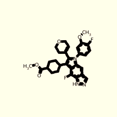 COC(=O)C1CCC(c2c(C3=CCOCC3)n(-c3ccc(F)c(OC)c3)c3cc4cn[nH]c4c(F)c23)CC1